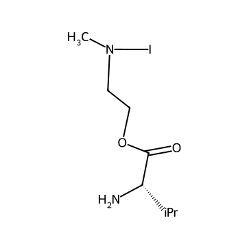 CC(C)[C@H](N)C(=O)OCCN(C)I